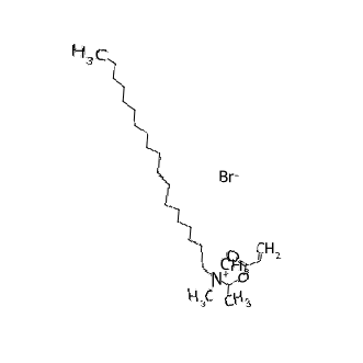 C=CC(=O)OC(C)[N+](C)(C)CCCCCCCCCCCCCCCCCCC.[Br-]